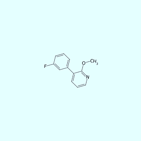 COc1ncccc1-c1cccc(F)c1